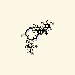 CCc1c(Cl)c(O)c(Cl)c(O)c1C(=O)OC1C(C)OC(OC/C2=C\C=C\CC(O)/C(C)=C/C(CC)C(OC3OC4(C)OC4C(OC(=O)C(C)C)C3O)/C(C)=C/C(C)=C/CC(C(C)O)OC2=O)C(OC)C1O